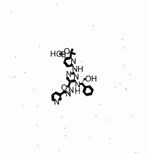 CC1(C)OB(O)c2ccc(Nc3ncc(-c4nnc(-c5cccnc5)o4)c(N[C@H](CO)c4ccccc4)n3)nc21